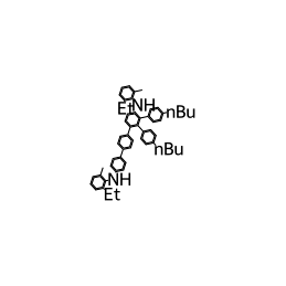 CCCCc1ccc(-c2c(Nc3c(C)cccc3CC)ccc(-c3ccc(-c4ccc(Nc5c(C)cccc5CC)cc4)cc3)c2-c2ccc(CCCC)cc2)cc1